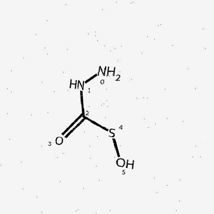 NNC(=O)SO